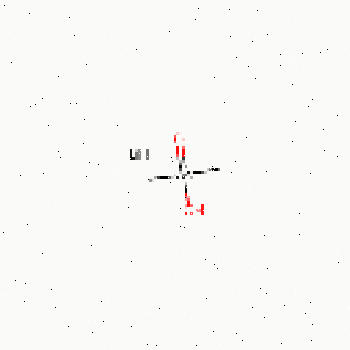 C[As](C)(=O)O.[LiH]